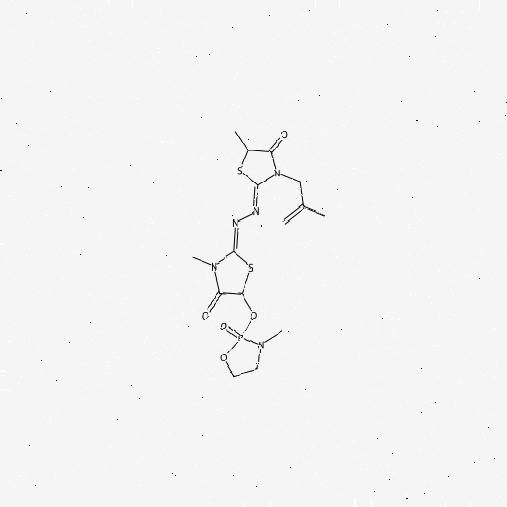 C=C(C)CN1C(=O)C(C)SC1=NN=C1SC(OP2(=O)OCCN2C)C(=O)N1C